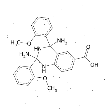 COc1ccccc1C1(N)Nc2ccc(C(=O)O)cc2C(N)(c2ccccc2OC)N1